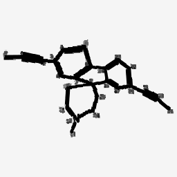 CC#Cc1ccc2c(c1)C1(CCN(C)CC1)c1cc(C#CC)ccc1-2